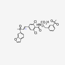 CP(=O)(/C=C/c1cc(Cl)c(C(=O)N[C@@H](Cc2cccc(S(C)(=O)=O)c2)C(=O)O)c(Cl)c1)c1ccc2ccoc2c1